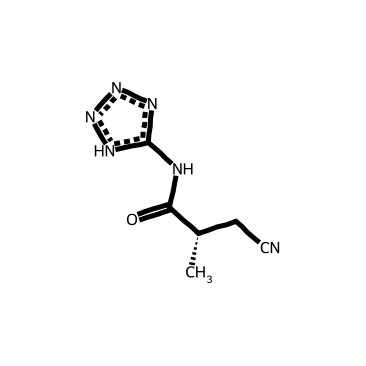 C[C@@H](CC#N)C(=O)Nc1nnn[nH]1